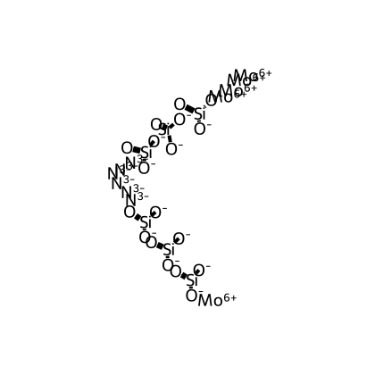 O=[Si]([O-])[O-].O=[Si]([O-])[O-].O=[Si]([O-])[O-].O=[Si]([O-])[O-].O=[Si]([O-])[O-].O=[Si]([O-])[O-].[Mo+6].[Mo+6].[Mo+6].[Mo+6].[Mo+6].[N-3].[N-3].[N-3].[N-3].[N-3].[N-3]